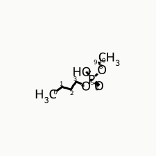 CCCCOP(=O)(O)OCC